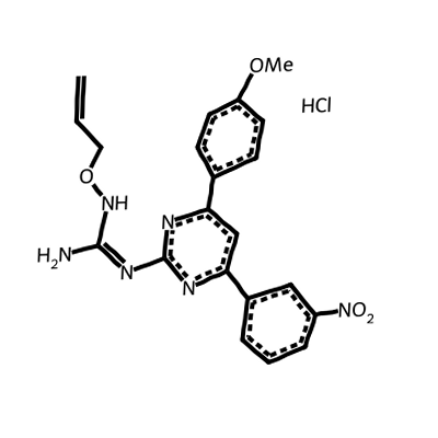 C=CCONC(N)=Nc1nc(-c2ccc(OC)cc2)cc(-c2cccc([N+](=O)[O-])c2)n1.Cl